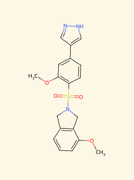 COc1cc(-c2cn[nH]c2)ccc1S(=O)(=O)N1Cc2cccc(OC)c2C1